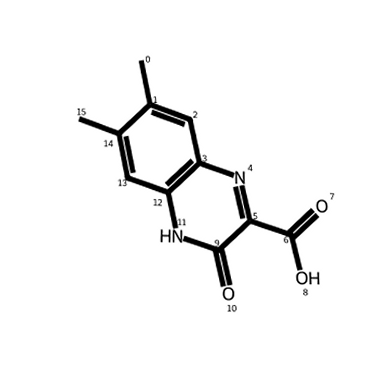 Cc1cc2nc(C(=O)O)c(=O)[nH]c2cc1C